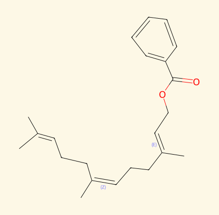 CC(C)=CCC/C(C)=C\CC/C(C)=C/COC(=O)c1ccccc1